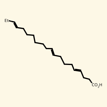 CC/C=C/CCCCCC/C=C/CCC/C=C/CCC(=O)O